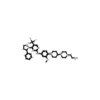 COc1cc(Nc2ncc(C(F)(F)F)c(N3OCCC3c3ccccc3)n2)ccc1N1CCC(N2CCN(CCO)CC2)CC1